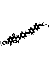 CCCC1CCC(C2CCC(CCC3CCC(CCCC(=O)c4ccc(OCC)c(F)c4O)CC3)CC2)CC1